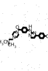 CN(C)CCN1CCN(C(=O)c2ccc(Nc3nccc(-c4ccc(Cl)cc4)n3)cc2)CC1